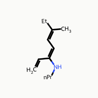 C=C/C(=C\C=C(/C)CC)NCCC